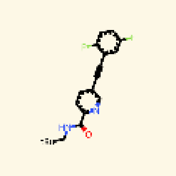 CC(C)(C)CNC(=O)c1ccc(C#Cc2cc(F)ccc2F)cn1